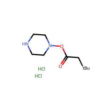 CC(C)(C)CC(=O)ON1CCNCC1.Cl.Cl